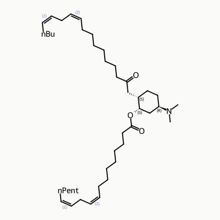 CCCC/C=C\C/C=C\CCCCCCCC(=O)C[C@@H]1CC[C@@H](N(C)C)C[C@@H]1OC(=O)CCCCCCC/C=C\C/C=C\CCCCC